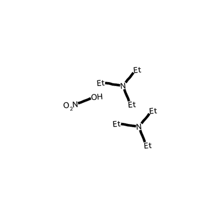 CCN(CC)CC.CCN(CC)CC.O=[N+]([O-])O